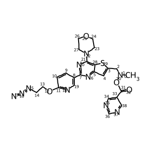 CN(Cc1cc2nc(-c3ccc(OCCN=[N+]=[N-])nc3)nc(N3CCOCC3)c2s1)OC(=O)c1cncnc1